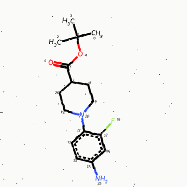 CC(C)(C)OC(=O)C1CCN(c2ccc(N)cc2F)CC1